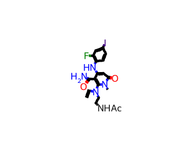 C=CN(CCNC(C)=O)c1c(C(N)=O)c(Nc2ccc(I)cc2F)cc(=O)n1C